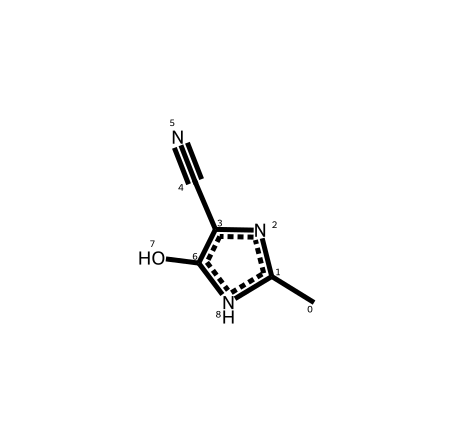 Cc1nc(C#N)c(O)[nH]1